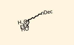 CCCCCCCCCCCCCCCCCCN(C)CC(CO)OCC